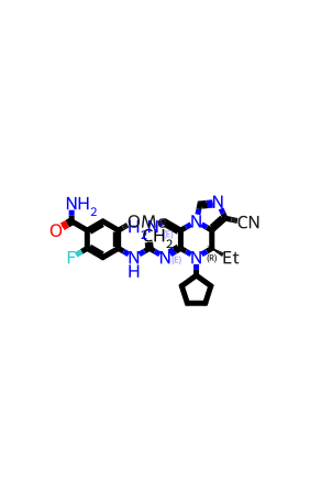 C=C(/N=C1\C(=C/N)n2cnc(C#N)c2[C@@H](CC)N1C1CCCC1)Nc1cc(F)c(C(N)=O)cc1OC